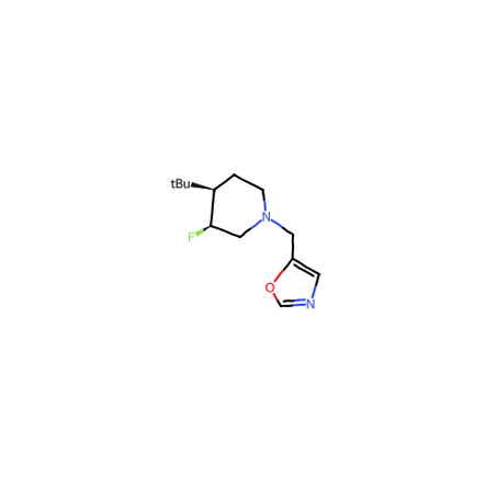 CC(C)(C)[C@H]1CCN(Cc2cnco2)C[C@H]1F